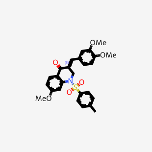 COc1ccc2c(c1)N(S(=O)(=O)c1ccc(C)cc1)C/C(=C\c1ccc(OC)c(OC)c1)C2=O